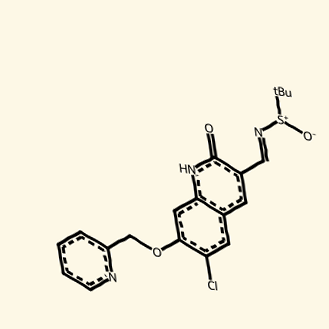 CC(C)(C)[S+]([O-])/N=C/c1cc2cc(Cl)c(OCc3ccccn3)cc2[nH]c1=O